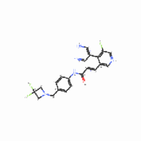 N=C/C(=C\N)c1c(F)cncc1/C=C/C(=O)Nc1ccc(CN2CC(F)(F)C2)cc1